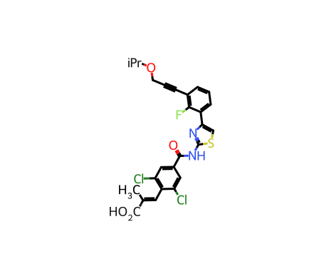 CC(=Cc1c(Cl)cc(C(=O)Nc2nc(-c3cccc(C#CCOC(C)C)c3F)cs2)cc1Cl)C(=O)O